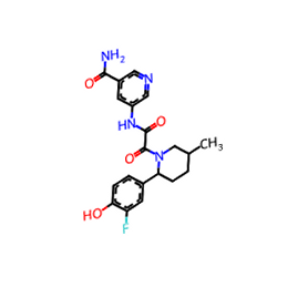 CC1CCC(c2ccc(O)c(F)c2)N(C(=O)C(=O)Nc2cncc(C(N)=O)c2)C1